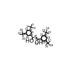 CC(C)(C)c1cc(C(O)SC(O)c2cc(C(C)(C)C)cc(C(C)(C)C)c2)cc(C(C)(C)C)c1